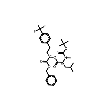 CC(C)C[C@@H](C(=O)O[C@H](CCc1ccc(C(F)(F)F)cc1)C(=O)OCc1ccccc1)N(C)C(=O)OC(C)(C)C